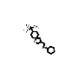 CC(C)(C)C1CCC2(CC1)CC(CNC1CCCCC1)CO2